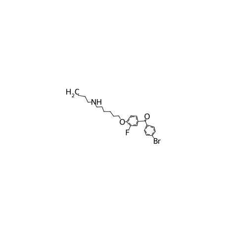 C=CCCNCCCCCCOc1ccc(C(=O)c2ccc(Br)cc2)cc1F